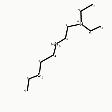 CCSCCNCCN(CC)CC